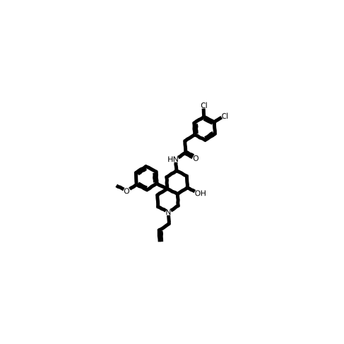 C=CCN1CCC2(c3cccc(OC)c3)CC(NC(=O)Cc3ccc(Cl)c(Cl)c3)CC(O)C2C1